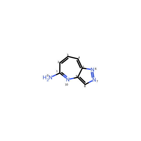 Nc1cccc2nncc-2n1